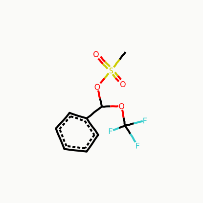 CS(=O)(=O)OC(OC(F)(F)F)c1ccccc1